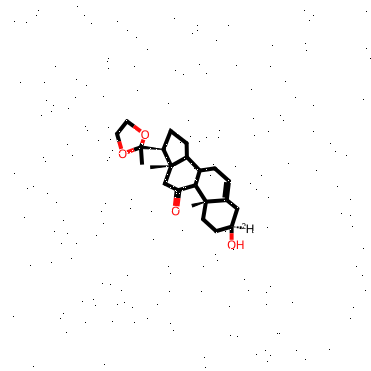 [2H][C@]1(O)CC[C@@]2(C)C(=CCC3C2C(=O)C[C@@]2(C)C3CC[C@@H]2C2(C)OCCO2)C1